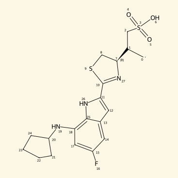 [CH2]C(CS(=O)(=O)O)[C@@H]1CSC(c2cc3cc(F)cc(NC4CCCC4)c3[nH]2)=N1